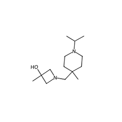 CC(C)N1CCC(C)(CN2CC(C)(O)C2)CC1